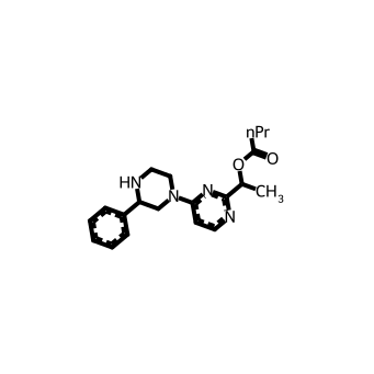 CCCC(=O)OC(C)c1nccc(N2CCNC(c3ccccc3)C2)n1